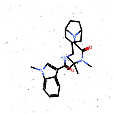 CN(C(=O)CN1C2CCC1CC(CNC(=O)c1cn(C)c3ccccc13)C2)C(C)(C)C